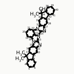 CC1(C)c2ccccc2-c2cc3nc4n(c3cc21)c1cccc2c1n4c1nc3cc4c(cc3n21)C(C)(C)c1ccccc1-4